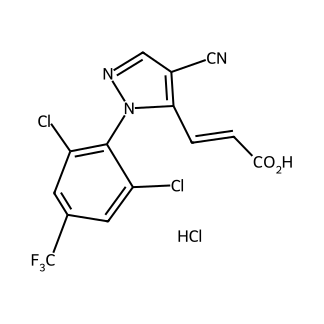 Cl.N#Cc1cnn(-c2c(Cl)cc(C(F)(F)F)cc2Cl)c1C=CC(=O)O